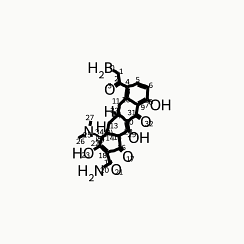 BCC(=O)c1ccc(O)c2c1C[C@H]1C[C@@H]3C(C(=O)C(C(N)=O)=C(O)[C@H]3N(C)C)C(O)=C1C2=O